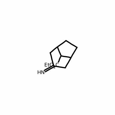 CCOC(=O)C1C2CCC1CC(=N)C2